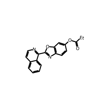 CCC(=O)Oc1ccc2nc(-c3nccc4ccccc34)oc2c1